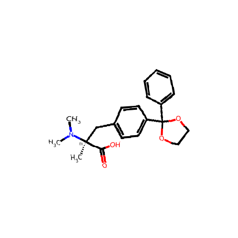 CN(C)[C@@](C)(Cc1ccc(C2(c3ccccc3)OCCO2)cc1)C(=O)O